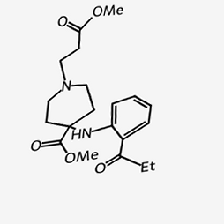 CCC(=O)c1ccccc1NC1(C(=O)OC)CCN(CCC(=O)OC)CC1